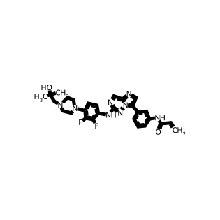 C=CC(=O)Nc1cccc(-c2cnc3cnc(Nc4ccc(N5CCN(CC(C)(C)O)CC5)c(F)c4F)nn23)c1